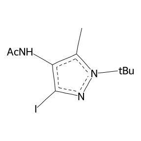 CC(=O)Nc1c(I)nn(C(C)(C)C)c1C